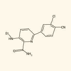 CCNc1ccc(-c2ccc(C#N)c(Cl)c2)nc1C(N)=O